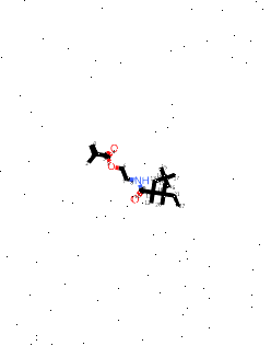 C=C(C)C(=O)OCCNC(=O)C(C)(CC(C)(C)C)C(C)(C)CC